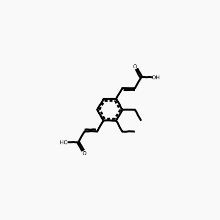 CCc1c(/C=C/C(=O)O)ccc(/C=C/C(=O)O)c1CC